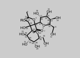 CC(=O)OC(C(C)=O)(C1O[C@H](CO)[C@H](O)[C@H](O)[C@H]1O)C(O)(CO)C1O[C@H](CO)[C@H](O)[C@H](O)[C@H]1O